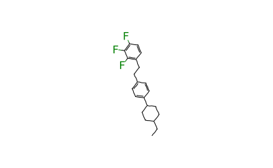 CCC1CCC(c2ccc(CCc3ccc(F)c(F)c3F)cc2)CC1